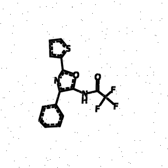 O=C(Nc1oc(-c2cccs2)nc1-c1ccccc1)C(F)(F)F